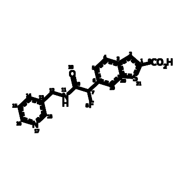 O=C(O)c1cc2ccc(C(F)C(=O)NCc3cccnc3)cc2s1